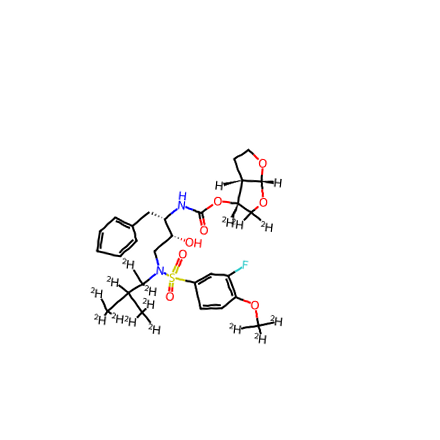 [2H]C([2H])([2H])Oc1ccc(S(=O)(=O)N(C[C@@H](O)[C@H](Cc2ccccc2)NC(=O)O[C@]2([2H])[C@@H]3CCO[C@@H]3OC2([2H])[2H])C([2H])([2H])C([2H])(C([2H])([2H])[2H])C([2H])([2H])[2H])cc1F